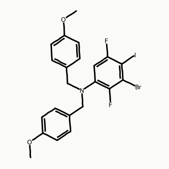 COc1ccc(CN(Cc2ccc(OC)cc2)c2cc(F)c(I)c(Br)c2F)cc1